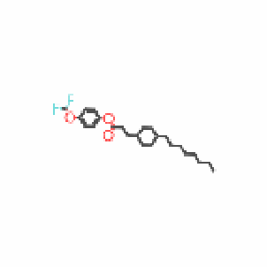 CCCCCCCCC1CCC(CCC(=O)Oc2ccc(OC(F)F)cc2)CC1